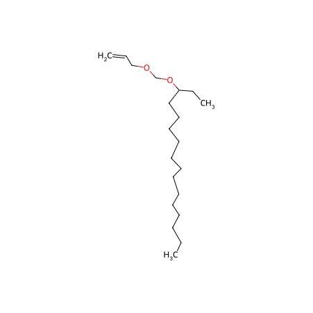 C=CCOCOC(CC)CCCCCCCCCCCCC